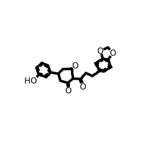 O=C(CCc1ccc2c(c1)OCO2)C1C(=O)CC(c2cccc(O)c2)CC1=O